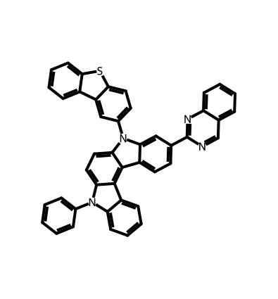 c1ccc(-n2c3ccccc3c3c4c5ccc(-c6ncc7ccccc7n6)cc5n(-c5ccc6sc7ccccc7c6c5)c4ccc32)cc1